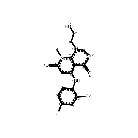 Cn1c(=O)cc(Nc2ccc(I)cc2F)c2c(=O)ncn(CCO)c21